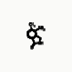 Cc1ccc2c(c1[N+](=O)[O-])CNC2=O